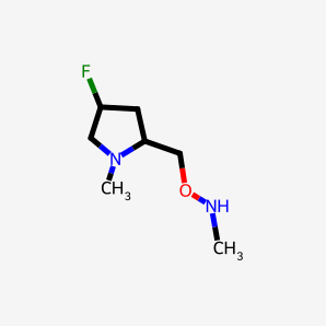 CNOCC1CC(F)CN1C